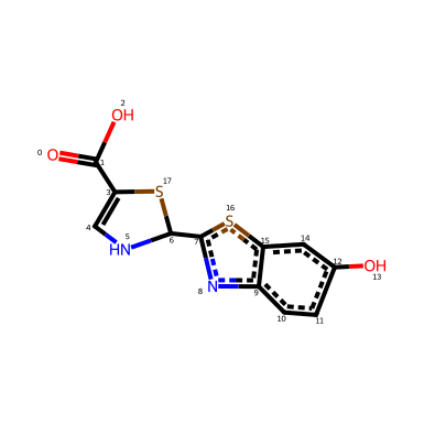 O=C(O)C1=CNC(c2nc3ccc(O)cc3s2)S1